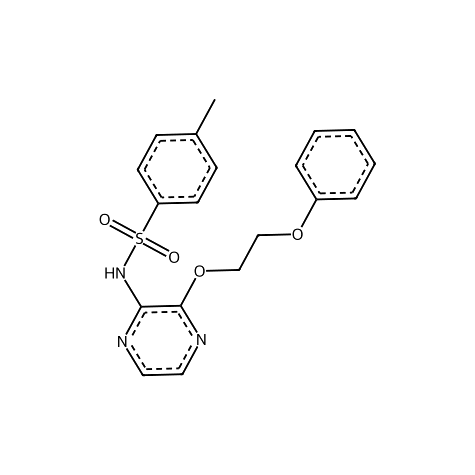 Cc1ccc(S(=O)(=O)Nc2nccnc2OCCOc2ccccc2)cc1